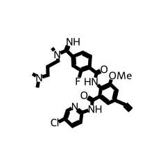 C#Cc1cc(OC)c(NC(=O)c2ccc(C(=N)N(C)CCCN(C)C)cc2F)c(C(=O)Nc2ccc(Cl)cn2)c1